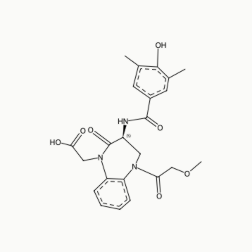 COCC(=O)N1C[C@H](NC(=O)c2cc(C)c(O)c(C)c2)C(=O)N(CC(=O)O)c2ccccc21